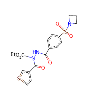 CCOC(=O)N(NC(=O)c1ccc(S(=O)(=O)N2CCC2)cc1)C(=O)c1ccsc1